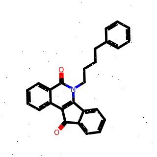 O=C1c2ccccc2-c2c1c1ccccc1c(=O)n2CCCCc1ccccc1